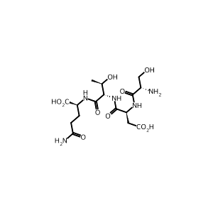 C[C@@H](O)[C@H](NC(=O)[C@H](CC(=O)O)NC(=O)[C@@H](N)CO)C(=O)N[C@@H](CCC(N)=O)C(=O)O